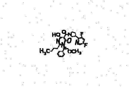 CCCCc1nc(O)c(C(=O)N2CCC(c3ncc(F)cc3F)C2)c(=O)n1[C@@H](COC)c1ccccc1